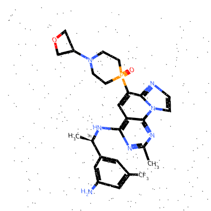 Cc1nc(N[C@H](C)c2cc(N)cc(C(F)(F)F)c2)c2cc(P3(=O)CCN(C4COC4)CC3)c3nccn3c2n1